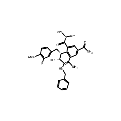 CCCN(CCC)C(=O)c1cc(C(N)=O)cc(C(N)=O)c1[C@H](Cc1ccc(OC)c(F)c1)[C@@H](O)CNCc1ccccc1